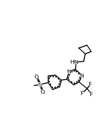 CS(=O)(=O)c1ccc(-c2cc(C(F)(F)F)nc(NCC3CCC3)n2)cc1